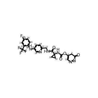 O=C1CC(OC(=O)NC2(C(=O)NCc3ccc(Nc4ccc(F)cc4C(F)(F)F)cn3)CC2)=CN=N1